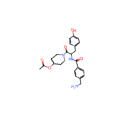 CC(=O)OC1CCN(C(=O)C(Cc2ccc(O)cc2)NC(=O)c2ccc(CN)cc2)CC1